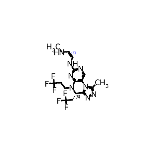 CN/C=C\Nc1ncc2c(n1)N(CCC(F)(F)F)[C@@H](CC(F)(F)F)c1nnc(C)n1-2